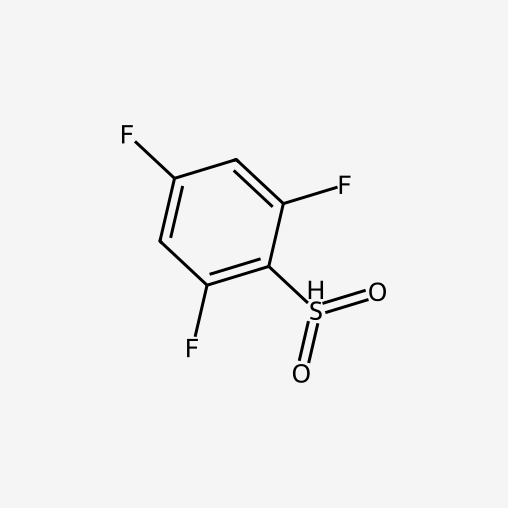 O=[SH](=O)c1c(F)cc(F)cc1F